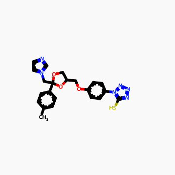 Cc1ccc(C2(Cn3ccnc3)OCC(COc3ccc(-n4nnnc4S)cc3)O2)cc1